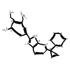 Cc1cc(-c2nc3ccc(C4(c5ccccc5)C=C4)nc3s2)cc(C)c1CO